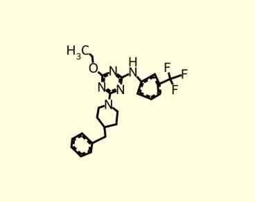 CCOc1nc(Nc2cccc(C(F)(F)F)c2)nc(N2CCC(Cc3ccccc3)CC2)n1